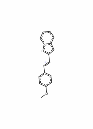 COc1ccc(/C=C/c2cc3ccccc3o2)cc1